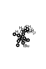 CC(C)(C)c1ccc(N2c3c(oc4ccc(-c5ccccc5)cc34)B3c4c(cc5c(oc6ccccc65)c42)-c2cc4c(cc2N3c2ccc(-c3ccccc3)cc2)C(C)(C)c2cc3c(cc2-4)C(C)(C)CCC3(C)C)cc1